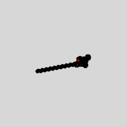 CCCCCCCCCCCCCCCCCCCCOP(F)Oc1c(C(C)(C)C)cc(OC)cc1C(C)(C)C